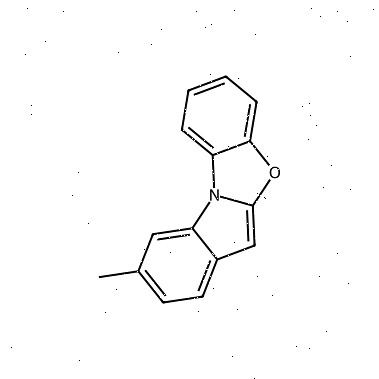 Cc1ccc2cc3oc4ccccc4n3c2c1